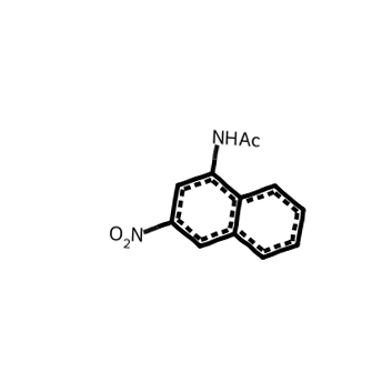 CC(=O)Nc1cc([N+](=O)[O-])cc2ccccc12